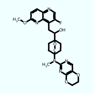 COc1ccc2ncc(F)c(CC(O)C34CCC(N(C)c5ncc6c(n5)OCCO6)(CC3)CO4)c2n1